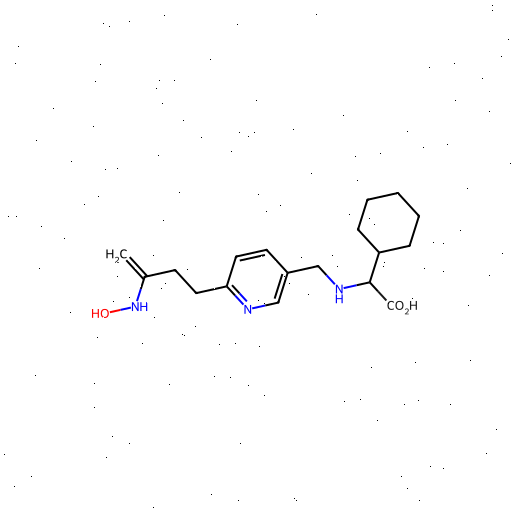 C=C(CCc1ccc(CNC(C(=O)O)C2CCCCC2)cn1)NO